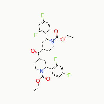 CCOC(=O)N1CCC(C(=O)C2CCN(C(=O)OCC)C(c3ccc(F)cc3F)C2)CC1c1ccc(F)cc1F